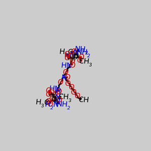 C#CCOCCOCCOCCOCCC(=O)N(CCOCCCNC(=O)CO[C@@H]([C@@H]1CC(C(=O)OC)=C[C@H](N=C(N)N)[C@H]1NC(C)=O)[C@H]1COC(=O)O1)CCOCCCNC(=O)CO[C@@H]([C@@H]1OC(C(=O)OC)=C[C@H](N=C(N)N)[C@H]1NC(C)=O)[C@H]1COC(=O)O1